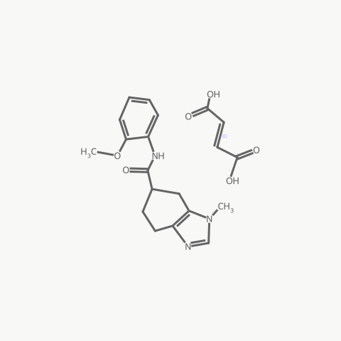 COc1ccccc1NC(=O)C1CCc2ncn(C)c2C1.O=C(O)/C=C/C(=O)O